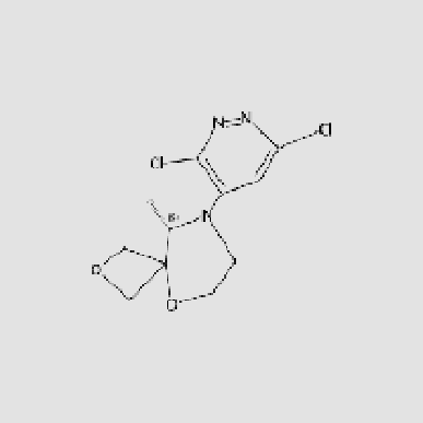 C[C@@H]1N(c2cc(Cl)nnc2Cl)CCOC12COC2